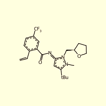 C=Cc1ccc(C(F)(F)F)cc1C(=O)/N=c1\cc(C(C)(C)C)n(C)n1C[C@H]1CCCO1